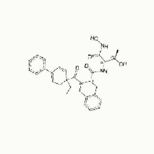 CCC1(C(=O)N2Cc3ccccc3C[C@H]2C(=O)N[C@H](C(=O)NO)[C@@H](C)O)C=CC(c2ccccc2)=CC1